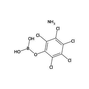 N.OB(O)Oc1c(Cl)c(Cl)c(Cl)c(Cl)c1Cl